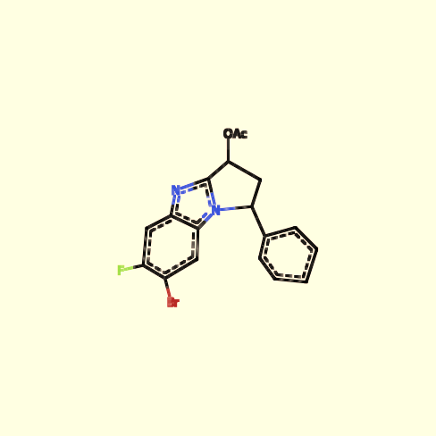 CC(=O)OC1CC(c2ccccc2)n2c1nc1cc(F)c(Br)cc12